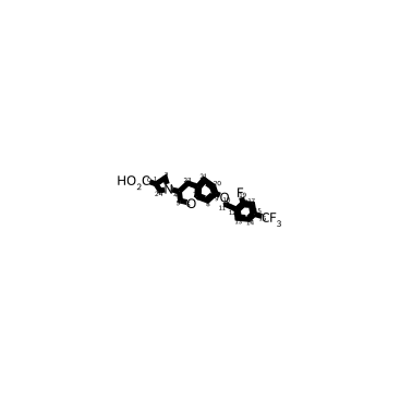 O=C(O)C1CN(C2COc3cc(OCc4ccc(C(F)(F)F)cc4F)ccc3C2)C1